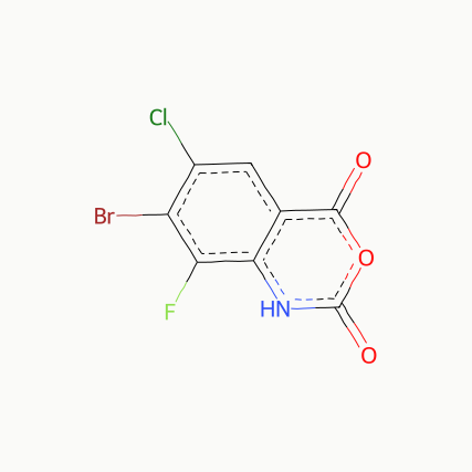 O=c1[nH]c2c(F)c(Br)c(Cl)cc2c(=O)o1